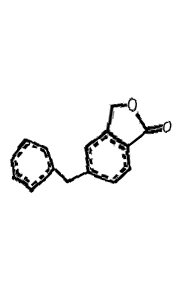 O=C1OCc2cc(Cc3ccccc3)ccc21